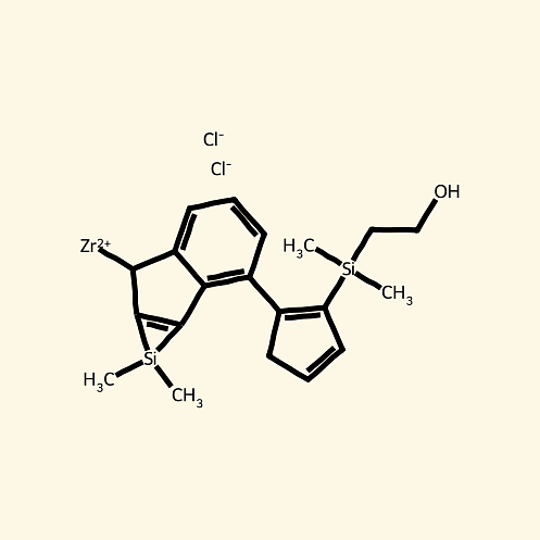 C[Si](C)(CCO)C1=C(c2cccc3c2C2=C([CH]3[Zr+2])[Si]2(C)C)CC=C1.[Cl-].[Cl-]